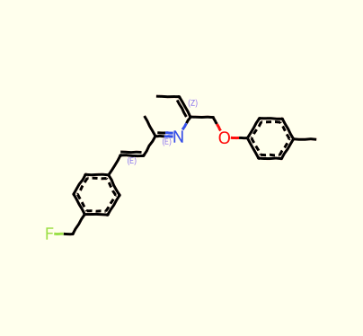 C\C=C(COc1ccc(C)cc1)/N=C(C)/C=C/c1ccc(CF)cc1